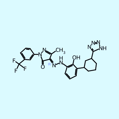 CC1=NN(c2cccc(C(F)(F)F)c2)C(=O)/C1=N/Nc1cccc(C2CCCC(c3nnn[nH]3)C2)c1O